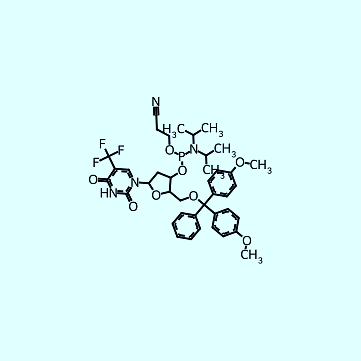 COc1ccc(C(OCC2OC(n3cc(C(F)(F)F)c(=O)[nH]c3=O)CC2OP(OCCC#N)N(C(C)C)C(C)C)(c2ccccc2)c2ccc(OC)cc2)cc1